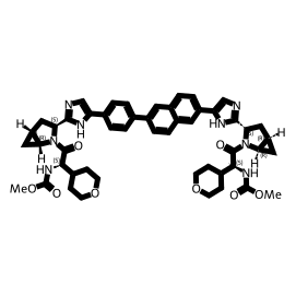 COC(=O)N[C@H](C(=O)N1[C@@H]2C[C@@H]2C[C@H]1c1ncc(-c2ccc(-c3ccc4cc(-c5cnc([C@@H]6C[C@H]7C[C@H]7N6C(=O)[C@@H](NC(=O)OC)C6CCOCC6)[nH]5)ccc4c3)cc2)[nH]1)C1CCOCC1